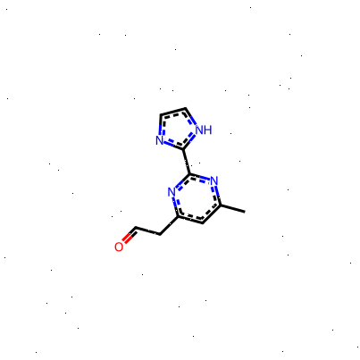 Cc1cc(CC=O)nc(-c2ncc[nH]2)n1